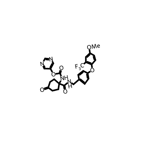 COc1ccc(Oc2ccc(CNC(=O)C3(NC(=O)Oc4cncnc4)CCC(=O)CC3)cc2)c(C(F)(F)F)c1